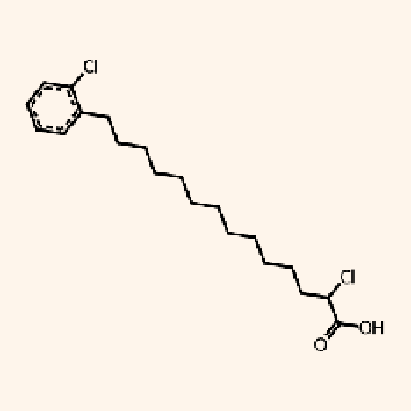 O=C(O)C(Cl)CCCCCCCCCCCCc1ccccc1Cl